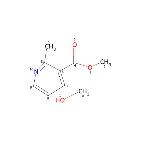 CO.COC(=O)c1cccnc1C